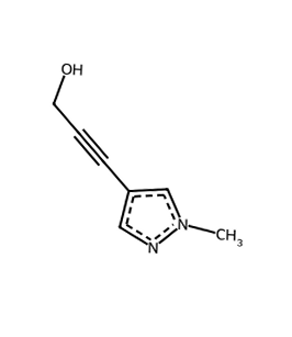 Cn1cc(C#CCO)cn1